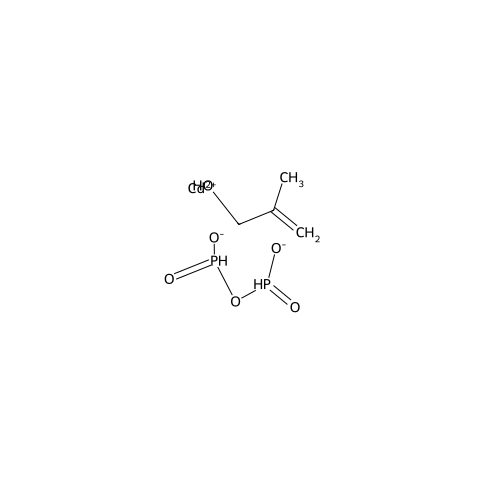 C=C(C)CO.O=[PH]([O-])O[PH](=O)[O-].[Cd+2]